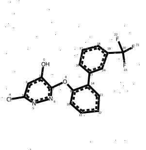 Oc1cc(Cl)nnc1Oc1ccccc1-c1cccc(C(F)(F)F)c1